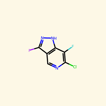 Fc1c(Cl)ncc2c(I)n[nH]c12